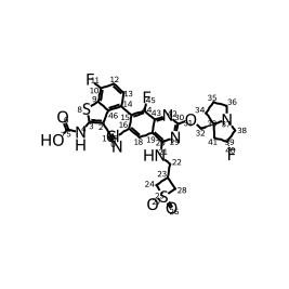 N#Cc1c(NC(=O)O)sc2c(F)ccc(-c3c(Cl)cc4c(NCC5CS(=O)(=O)C5)nc(OC[C@@]56CCCN5C[C@H](F)C6)nc4c3F)c12